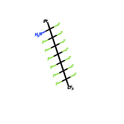 CC(C)C(N)(F)C(F)(F)C(F)(F)C(F)(F)C(F)(F)C(F)(F)C(F)(F)C(F)(F)F